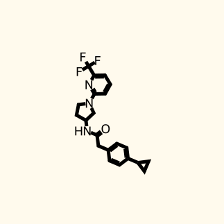 O=C(Cc1ccc(C2CC2)cc1)NC1CCN(c2cccc(C(F)(F)F)n2)C1